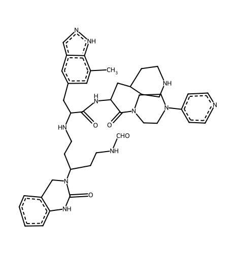 Cc1cc(CC(NCCC(CCNC=O)N2Cc3ccccc3NC2=O)C(=O)NC(CC2CCNCC2)C(=O)N2CCN(c3ccncc3)CC2)cc2cn[nH]c12